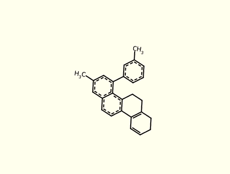 Cc1cccc(-c2cc(C)cc3ccc4c(c23)CCC2=C4C=CCC2)c1